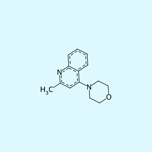 Cc1cc(N2CCOCC2)c2ccccc2n1